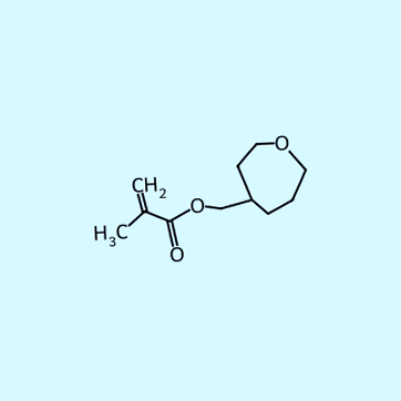 C=C(C)C(=O)OCC1CCCOCC1